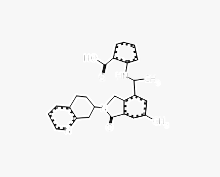 Cc1cc2c(c(C(C)Nc3ccccc3C(=O)O)c1)CN(C1CCc3cccnc3C1)C2=O